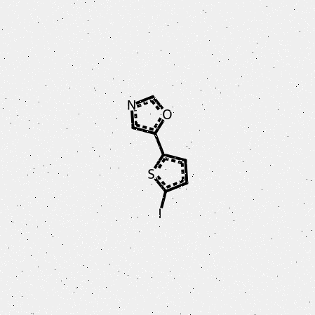 Ic1ccc(-c2cnco2)s1